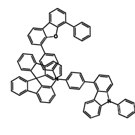 c1ccc(-c2cccc3c2oc2c(-c4ccc(N(c5ccc(-c6cccc7c6c6ccccc6n7-c6ccccc6)cc5)c5cccc6c5C5(c7ccccc7-c7ccccc75)c5ccccc5-6)cc4)cccc23)cc1